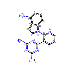 Cc1nc(N)nc(-c2cccnc2-n2ccc3c(N)cccc32)n1